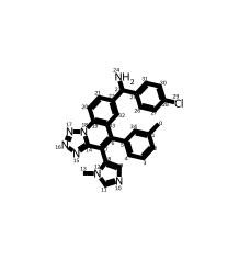 Cc1cccc(-c2c(-c3cncn3C)c3nnnn3c3ccc(C(N)c4ccc(Cl)cc4)cc23)c1